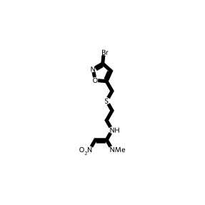 CNC(=C[N+](=O)[O-])NCCSCc1cc(Br)no1